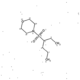 CCCC(CC)S(=O)(=O)N1CCOCC1